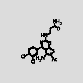 CC(=O)c1sc2nc(NCCC(N)=O)nc(-c3ccc(Cl)c(Cl)c3)c2c1N